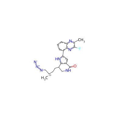 Cc1nc2cccc(-c3cc4c([nH]3)C(CC[C@H](C)CN=[N+]=[N-])CNC4=O)c2nc1F